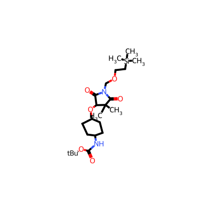 CC(C)(C)OC(=O)NC1CCC(OC2C(=O)N(COCC[Si](C)(C)C)C(=O)C2(C)C)CC1